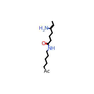 C/C=C(\N)CCCC(=O)NCCCCCC(C)=O